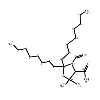 CCCCCCCCC1(CCCCCCCC)SC(C)(C)C(C(=O)O)N1C=O